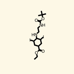 CCOC(=O)C1CC(I)C(NCCNC(=O)OC(C)(C)C)C(I)C1